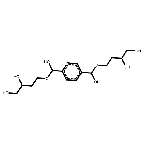 OCC(O)CCOC(O)c1ccc(C(O)OCCC(O)CO)nc1